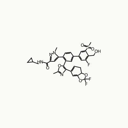 Cc1nc(C2=CCC3OC(F)(F)OC3=C2)c(-c2cc(-c3cc(F)c(CO)c(S(C)(=O)=O)c3)ccc2-c2cc(C(=O)NCC3CC3)nn2C)o1